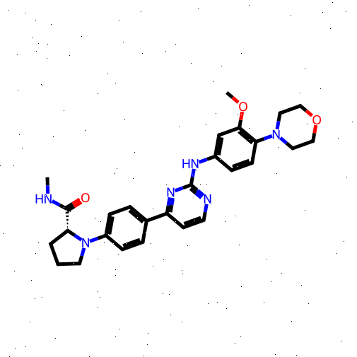 CNC(=O)[C@H]1CCCN1c1ccc(-c2ccnc(Nc3ccc(N4CCOCC4)c(OC)c3)n2)cc1